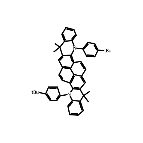 CC(C)(C)c1ccc(N2c3ccccc3C(C)(C)c3cc4ccc5c6c(cc7ccc(c32)c4c75)C(C)(C)c2ccccc2N6c2ccc(C(C)(C)C)cc2)cc1